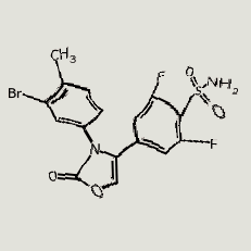 Cc1ccc(-n2c(-c3cc(F)c(S(N)(=O)=O)c(F)c3)coc2=O)cc1Br